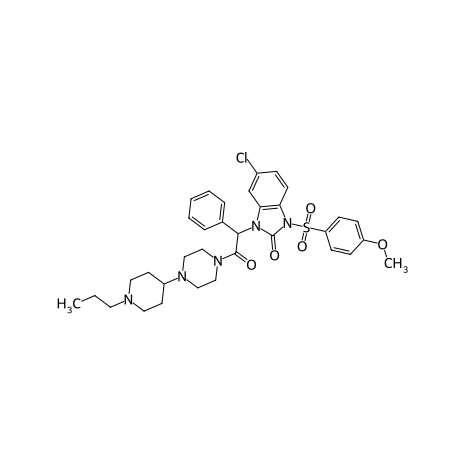 CCCN1CCC(N2CCN(C(=O)C(c3ccccc3)n3c(=O)n(S(=O)(=O)c4ccc(OC)cc4)c4ccc(Cl)cc43)CC2)CC1